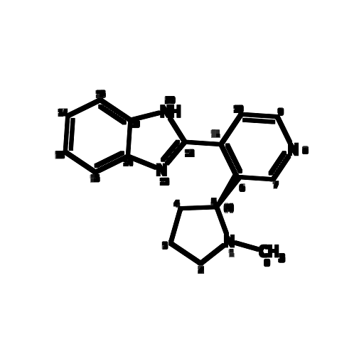 CN1CCC[C@H]1c1cnccc1-c1nc2ccccc2[nH]1